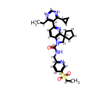 CCc1ncnc(C2CC2)c1-c1ccc2c(n1)C1(CCCC1)CN2C(=O)NCc1ccc(S(=O)(=O)CC)cn1